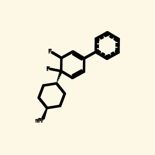 CCC[C@H]1CC[C@H](C2(F)C=CC(c3ccccc3)=CC2F)CC1